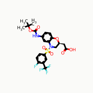 CC(C)(C)OC(=O)Nc1ccc2c(c1)N(S(=O)(=O)c1ccc(F)c(C(F)(F)F)c1)C[C@H](CC(=O)O)O2